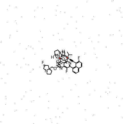 CC(C)[Si](C#Cc1c(F)ccc2cccc(-c3nc4c5c(nc(OC[C@@]67CCCN6C[C@H](F)C7)nc5c3F)N3C[C@H]5CC[C@@H]([C@H]3C[C@@H]4C)N5C(=O)OC(C)(C)C)c12)(C(C)C)C(C)C